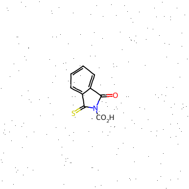 O=C(O)N1C(=O)c2ccccc2C1=S